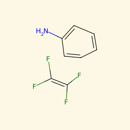 FC(F)=C(F)F.Nc1ccccc1